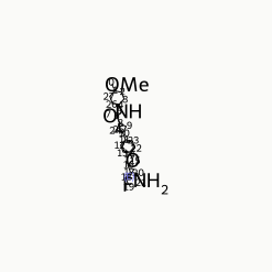 CO[C@H]1CC[C@@H](NC(=O)C23CC(c4ccc(OC/C(=C/F)CN)cc4)(C2)C3)CC1